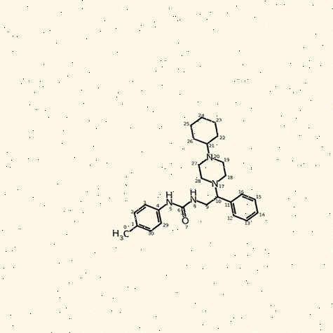 Cc1ccc(NC(=O)NCC(c2ccccc2)N2CCN(C3CCCCC3)CC2)cc1